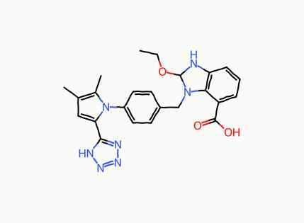 CCOC1Nc2cccc(C(=O)O)c2N1Cc1ccc(-n2c(-c3nnn[nH]3)cc(C)c2C)cc1